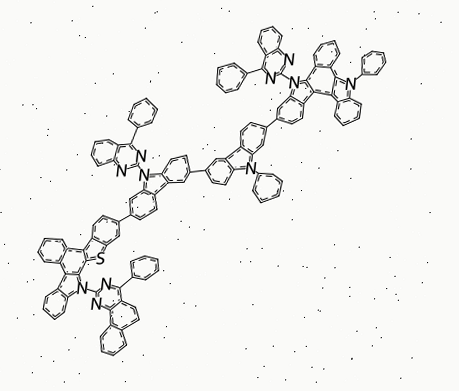 c1ccc(-c2nc(-n3c4ccc(-c5ccc6c(c5)c5ccc(-c7ccc8c9c%10c%11ccccc%11n(-c%11ccccc%11)c%10c%10ccccc%10c9n(-c9nc(-c%10ccccc%10)c%10ccccc%10n9)c8c7)cc5n6-c5ccccc5)cc4c4ccc(-c5ccc6c(c5)sc5c6c6ccccc6c6c7ccccc7n(-c7nc(-c8ccccc8)c8ccc9ccccc9c8n7)c56)cc43)nc3ccccc23)cc1